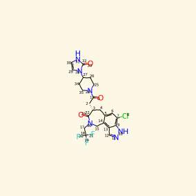 O=C(C[C@@H]1Cc2cc(Cl)c3[nH]ncc3c2CN(CC(F)(F)F)C1=O)N1CCC(n2cc[nH]c2=O)CC1